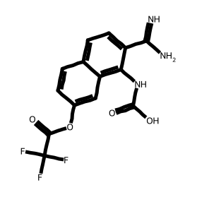 N=C(N)c1ccc2ccc(OC(=O)C(F)(F)F)cc2c1NC(=O)O